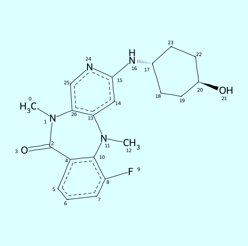 CN1C(=O)c2cccc(F)c2N(C)c2cc(N[C@H]3CC[C@H](O)CC3)ncc21